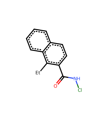 CCc1c(C(=O)NCl)ccc2ccccc12